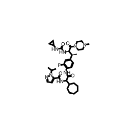 CC(C)n1nccc1C(=O)NC(C(=O)Nc1ccc([C@H](C)[C@@H](NC(=O)NC2CC2)C(=O)N2CCN(C)CC2)cc1F)C1CCCCCC1